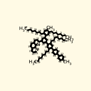 CCCCCCCCc1cc(-c2cc(-c3ccc4ccc5cccnc5c4n3)cc(-c3cc(CCCCCCCC)c(-c4ccc(-c5ccc(C)cc5)cc4)cc3CCCCCCCC)c2)c(CCCCCCCC)cc1C